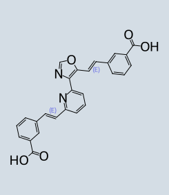 O=C(O)c1cccc(/C=C/c2cccc(-c3ncoc3/C=C/c3cccc(C(=O)O)c3)n2)c1